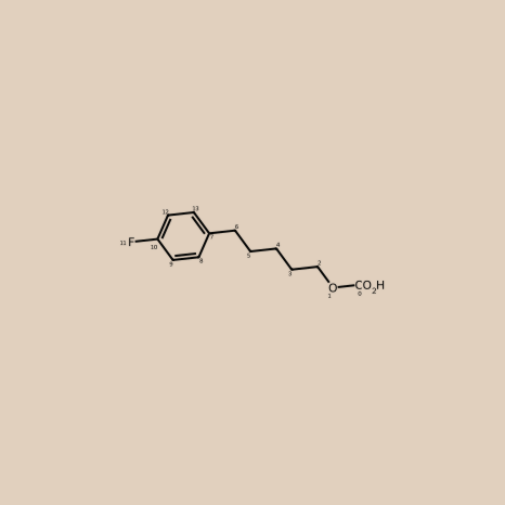 O=C(O)OCCCCCc1ccc(F)cc1